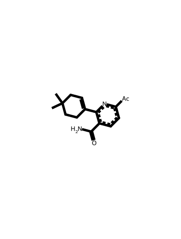 CC(=O)c1ccc(C(N)=O)c(C2=CCC(C)(C)CC2)n1